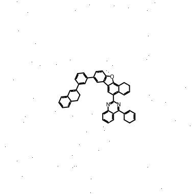 C1=CCCC(c2nc(-c3cc4c(oc5ccc(-c6cccc(C7=Cc8ccccc8CC7)c6)cc54)c4c3C=CCC4)nc3ccccc23)=C1